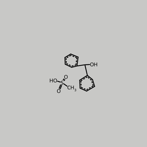 CS(=O)(=O)O.OC(c1ccccc1)c1ccccc1